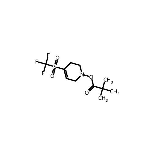 CC(C)(C)C(=O)ON1CC=C(S(=O)(=O)C(F)(F)F)CC1